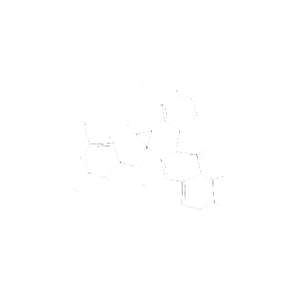 Cc1cncc(-n2c(C3(N(C)c4nc(N)nc(N)c4C#N)CC3)nc3cccc(Cl)c3c2=O)c1